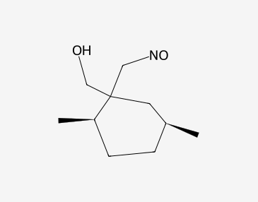 C[C@H]1CC[C@@H](C)C(CO)(CN=O)C1